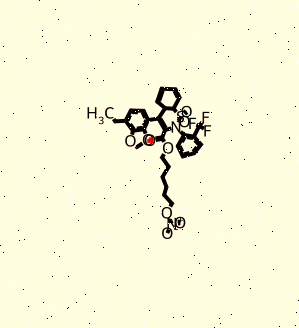 CCc1ccc(C2=C(C(=O)OCCCCCCO[N+](=O)[O-])N(c3ccccc3C(F)(F)F)S(=O)(=O)C3C=CC=CC23)c2c1OCO2